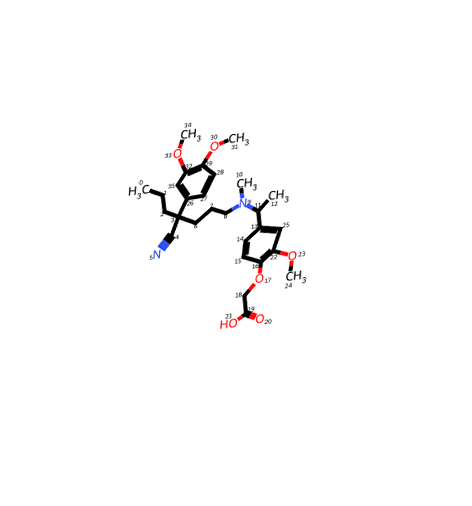 CCCC(C#N)(CCCN(C)C(C)c1ccc(OCC(=O)O)c(OC)c1)c1ccc(OC)c(OC)c1